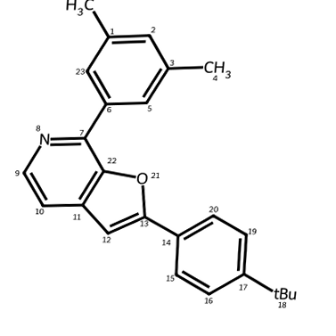 Cc1cc(C)cc(-c2nccc3cc(-c4ccc(C(C)(C)C)cc4)oc23)c1